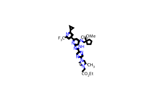 CCOC(=O)CCN1CCN(c2cnc(-c3nc4nc(-c5cc(C6CC6)nc(C(F)(F)F)c5)cc(N(C)CC5(COC)CCCC5)c4[nH]3)cn2)C[C@@H]1C